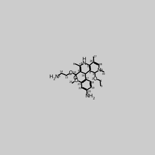 CCOC1C2=C(NC(C)=C(C(=O)OCCN)C2c2ccc(N)cc2OC)C(C)=CN1C